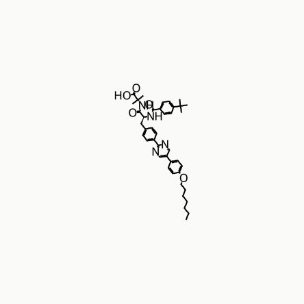 CCCCCCCOc1ccc(-c2cnc(-c3ccc(C[C@H](NC(=O)c4ccc(C(C)(C)C)cc4)C(=O)NC(C)(C)C(=O)O)cc3)nc2)cc1